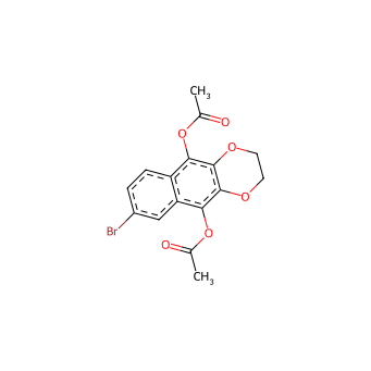 CC(=O)Oc1c2c(c(OC(C)=O)c3cc(Br)ccc13)OCCO2